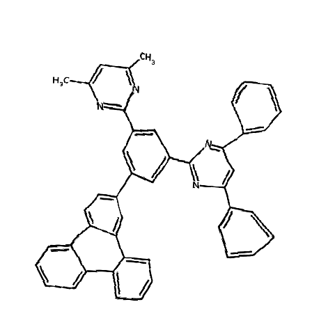 Cc1cc(C)nc(-c2cc(-c3ccc4c5ccccc5c5ccccc5c4c3)cc(-c3nc(-c4ccccc4)cc(-c4ccccc4)n3)c2)n1